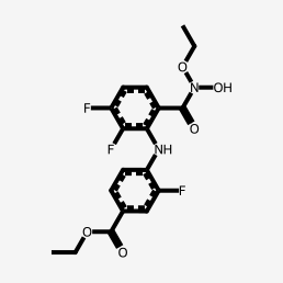 CCOC(=O)c1ccc(Nc2c(C(=O)N(O)OCC)ccc(F)c2F)c(F)c1